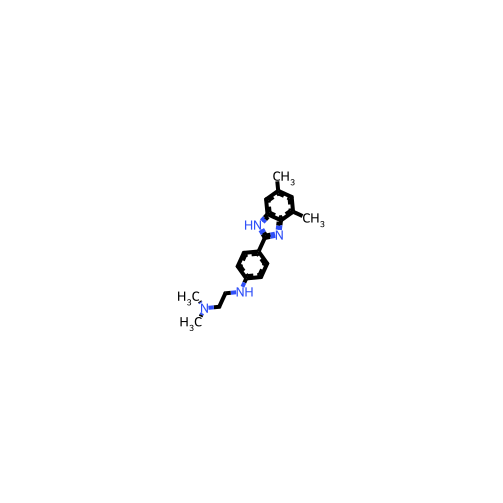 Cc1cc(C)c2nc(-c3ccc(NCCN(C)C)cc3)[nH]c2c1